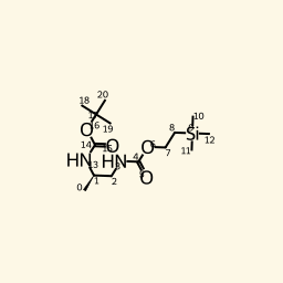 C[C@H](CNC(=O)OCC[Si](C)(C)C)NC(=O)OC(C)(C)C